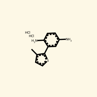 Cc1ccsc1-c1cc(N)ccc1N.Cl.Cl